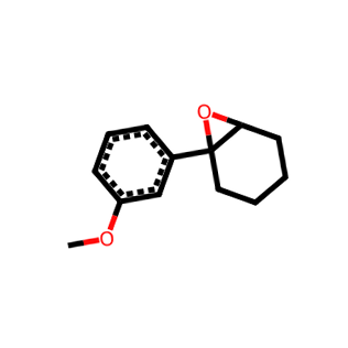 COc1cccc(C23CCCCC2O3)c1